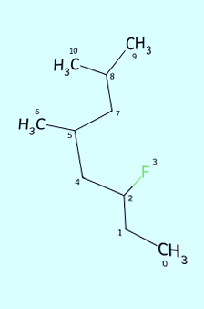 CCC(F)CC(C)CC(C)C